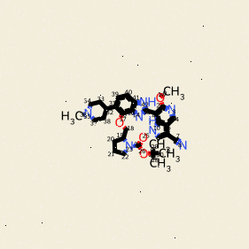 COc1ncc2c(C#N)c[nH]c2c1-c1nc2c(OCC3CCCN3C(=O)OC(C)(C)C)c(C3CCN(C)CC3)ccc2[nH]1